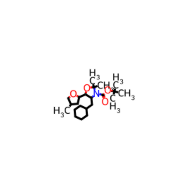 CC1COC(C2OC(C)(C)N(C(=O)OC(C)(C)C)C2CC2CCCCC2)C1